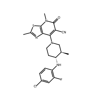 Cc1nc2c(N3CC[C@@H](Nc4ccc(Cl)cc4F)[C@H](C)C3)c(C#N)c(=O)n(C)c2s1